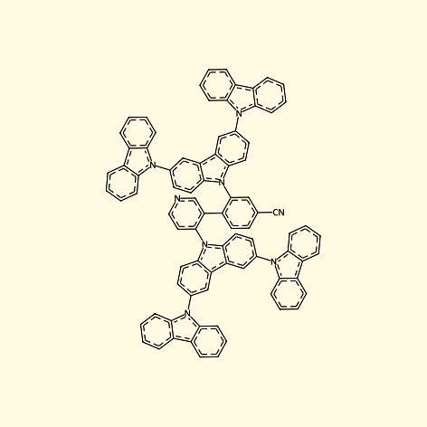 N#Cc1ccc(-c2cnccc2-n2c3ccc(-n4c5ccccc5c5ccccc54)cc3c3cc(-n4c5ccccc5c5ccccc54)ccc32)c(-n2c3ccc(-n4c5ccccc5c5ccccc54)cc3c3cc(-n4c5ccccc5c5ccccc54)ccc32)c1